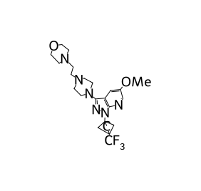 COc1cnc2c(c1)c(N1CCN(CCN3CCOCC3)CC1)nn2C12CC(C(F)(F)F)(C1)C2